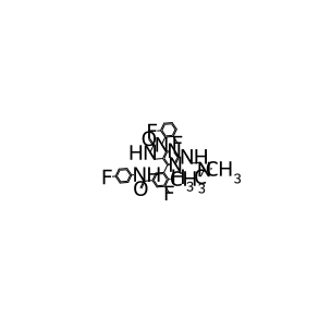 Cc1c(F)cc(C(=O)Nc2ccc(F)cc2)cc1-c1nc(NCCN(C)C)nc2c1CNC(=O)N2c1c(F)cccc1F